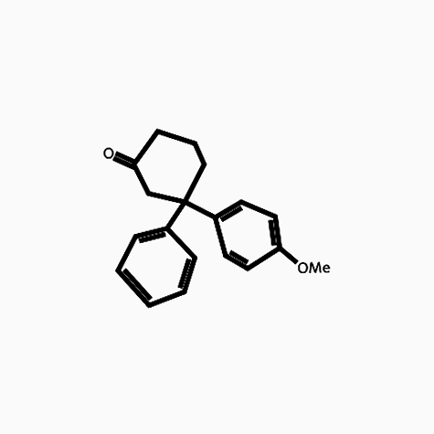 COc1ccc(C2(c3ccccc3)CCCC(=O)C2)cc1